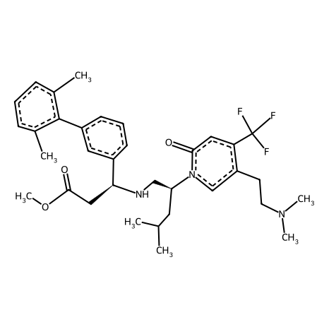 COC(=O)C[C@H](NC[C@H](CC(C)C)n1cc(CCN(C)C)c(C(F)(F)F)cc1=O)c1cccc(-c2c(C)cccc2C)c1